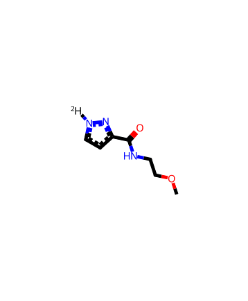 [2H]n1ccc(C(=O)NCCOC)n1